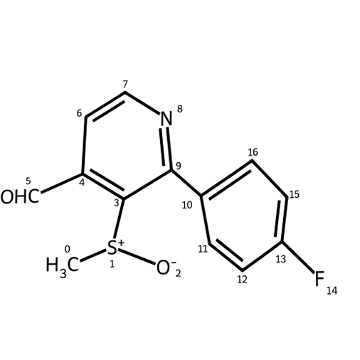 C[S+]([O-])c1c(C=O)ccnc1-c1ccc(F)cc1